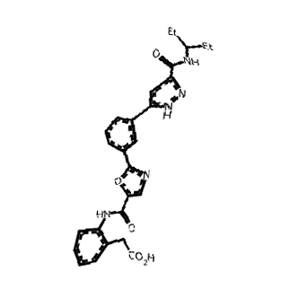 CCC(CC)NC(=O)c1cc(-c2cccc(-c3ncc(C(=O)Nc4ccccc4CC(=O)O)o3)c2)[nH]n1